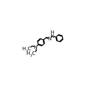 CCN(CC)c1ccc(C=NNc2ccccc2)cc1